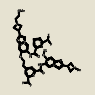 CCOc1cc2nc(C3CN(C(C)=O)C3)cn2cc1NC(=O)c1cc(CCOc2cc3nc(C4CN(CCOC)C4)cn3cc2NC(=O)c2cccc(C(F)F)n2)cc(C(F)F)n1